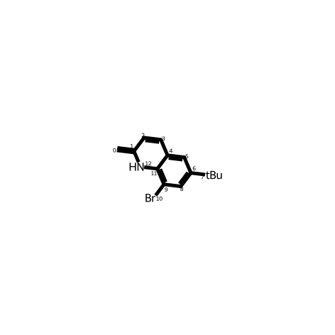 C=C1C=Cc2cc(C(C)(C)C)cc(Br)c2N1